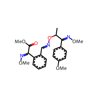 CO/N=C(/C(=O)OC)c1ccccc1/C=N/OC(C)/C(=N/OC)c1ccc(OC)cc1